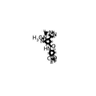 Cc1nc2cc(C(=O)Nc3ccc(OC(F)(F)Cl)cc3)cc(-c3cncnc3)c2n1C1CC1